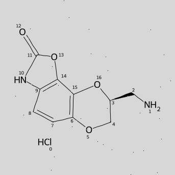 Cl.NC[C@H]1COc2ccc3[nH]c(=O)oc3c2O1